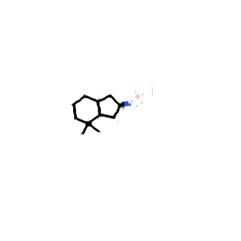 CC1(C)CCCC2C/C(=N\O)CC21